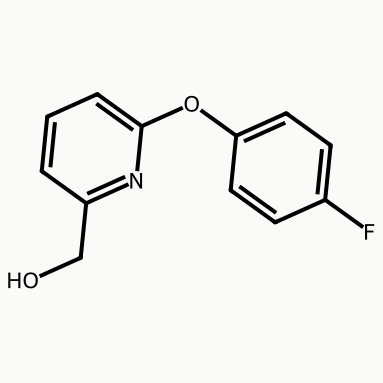 OCc1cccc(Oc2ccc(F)cc2)n1